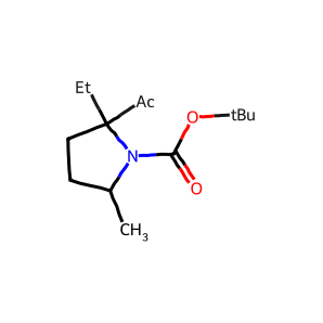 CCC1(C(C)=O)CCC(C)N1C(=O)OC(C)(C)C